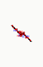 CCCCCCC/C=C/C(=O)NCCCCC(NC(=O)CC(O)(CC(=O)NC(CCCCNC(=O)/C=C/CCCCCCC)C(=O)O)C(=O)O)C(=O)O